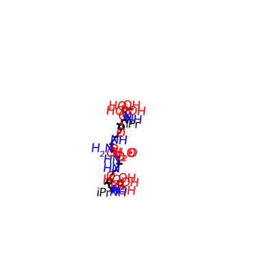 Cc1cc(OCCCNCC(C)(C)CNC(=O)/C=C/C(=O)OC(N)C(C)(C)CNCCCOc2ccc(Cc3c(O[C@@H]4O[C@H](CO)[C@@H](O)[C@H](O)[C@H]4O)n[nH]c3C(C)C)c(C)c2)ccc1Cc1c(O[C@@H]2O[C@H](CO)[C@@H](O)[C@H](O)[C@H]2O)n[nH]c1C(C)C.O.O